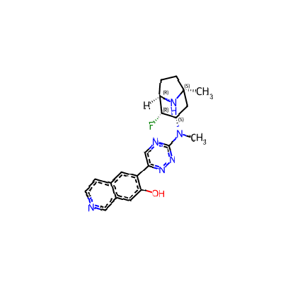 CN(c1ncc(-c2cc3ccncc3cc2O)nn1)[C@H]1C[C@]2(C)CC[C@@H](N2)[C@H]1F